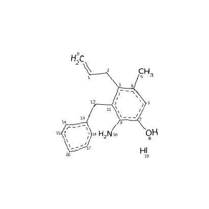 C=CCc1c(C)cc(O)c(N)c1Cc1ccccc1.I